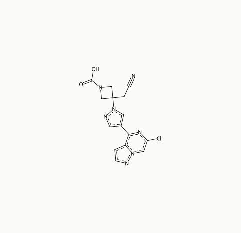 N#CCC1(n2cc(-c3nc(Cl)cn4nccc34)cn2)CN(C(=O)O)C1